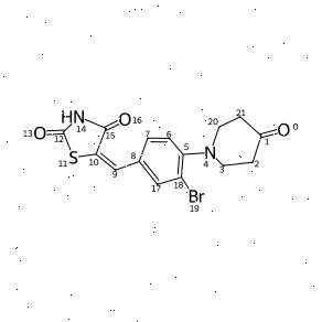 O=C1CCN(c2ccc(C=C3SC(=O)NC3=O)cc2Br)CC1